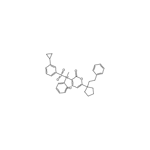 C[N+](c1ccccc1)(c1c(O)cc(C2(CCc3ccccc3)CCCC2)oc1=O)S(=O)(=O)c1cccc(C2CC2)c1